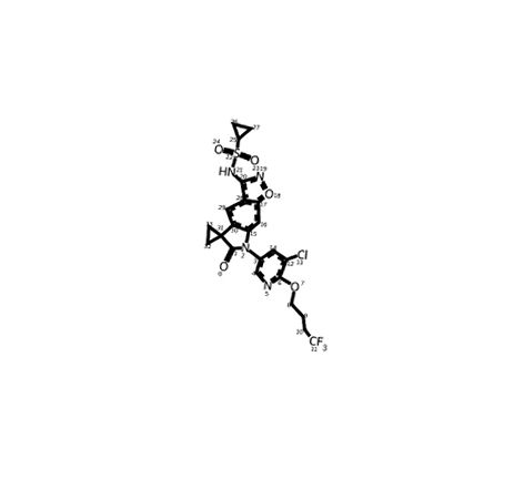 O=C1N(c2cnc(OCCCC(F)(F)F)c(Cl)c2)c2cc3onc(NS(=O)(=O)C4CC4)c3cc2C12CC2